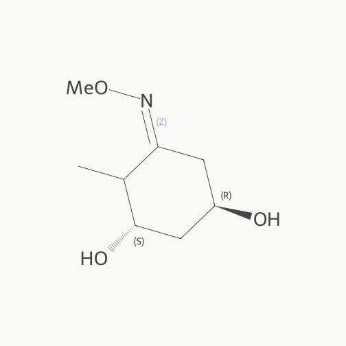 CO/N=C1/C[C@@H](O)C[C@H](O)C1C